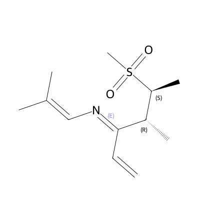 C=C/C(=N\C=C(C)C)[C@@H](C)[C@H](C)S(C)(=O)=O